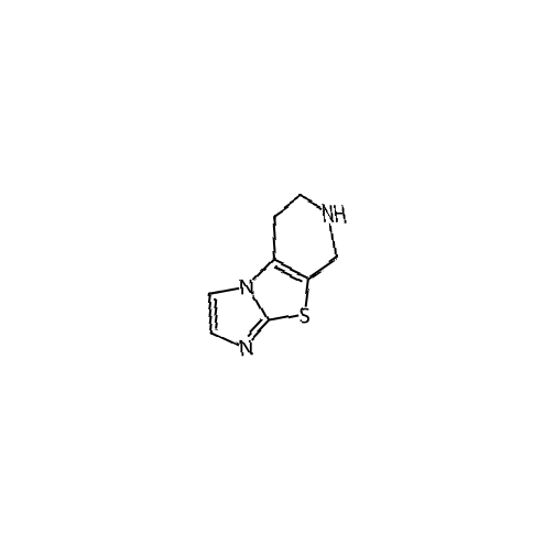 c1cn2c3c(sc2n1)CNCC3